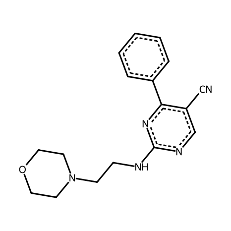 N#Cc1cnc(NCCN2CCOCC2)nc1-c1ccccc1